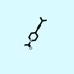 CC(=O)N1CCC(C#CC(C)C)CC1